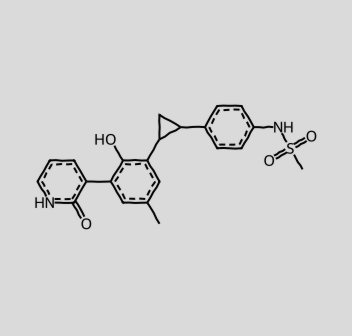 Cc1cc(-c2ccc[nH]c2=O)c(O)c(C2CC2c2ccc(NS(C)(=O)=O)cc2)c1